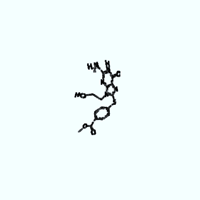 COC(=O)c1ccc(Sc2nc3c(=O)[nH]c(N)nc3n2CCO)cc1